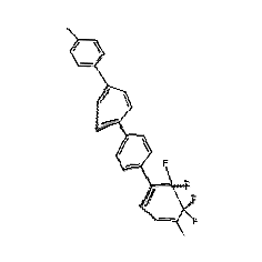 CC1=CC=C(c2ccc(-c3ccc(-c4ccc(C)cc4)cc3)cc2)C(F)(F)C1(F)F